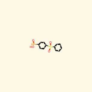 O=[PH](O)c1ccc(S(=O)(=O)c2ccccc2)cc1